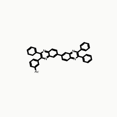 CC(=O)c1cccc(-c2nc3cc(-c4ccc5nc(-c6ccccc6)c(-c6ccccc6)nc5c4)ccc3nc2C2=CC=CCC2)c1